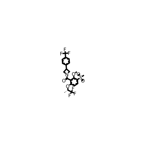 COc1c(S(C)(=O)=O)ccc(O[C@@H](C)C(F)(F)F)c1C(=O)N1CC(c2ccc(C(F)(F)F)cc2)C1